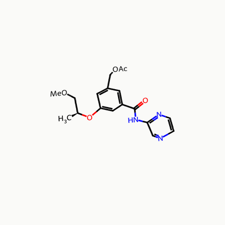 COC[C@H](C)Oc1cc(COC(C)=O)cc(C(=O)Nc2cnccn2)c1